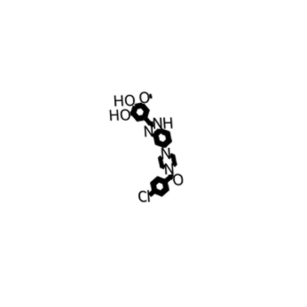 COc1cc(-c2nc3cc(N4CCN(C(=O)c5ccc(Cl)cc5)CC4)ccc3[nH]2)cc(O)c1O